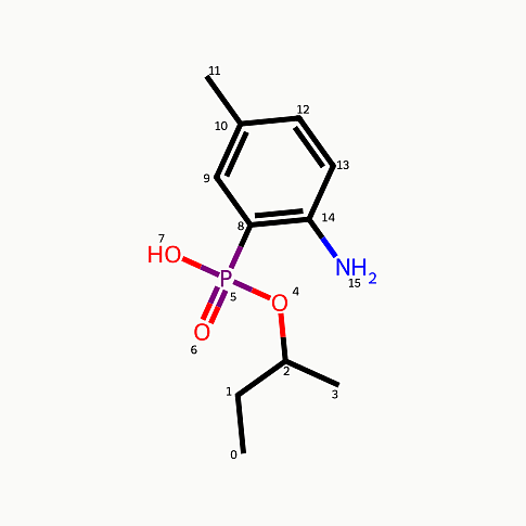 CCC(C)OP(=O)(O)c1cc(C)ccc1N